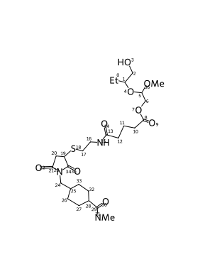 CCC(CO)OC(COC(=O)CCCC(=O)NCCSC1CC(=O)N(CC2CCC(C(=O)NC)CC2)C1=O)OC